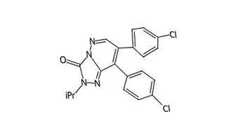 CC(C)n1nc2c(-c3ccc(Cl)cc3)c(-c3ccc(Cl)cc3)cnn2c1=O